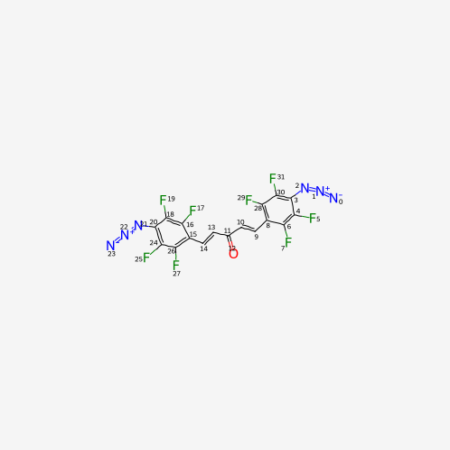 [N-]=[N+]=Nc1c(F)c(F)c(C=CC(=O)C=Cc2c(F)c(F)c(N=[N+]=[N-])c(F)c2F)c(F)c1F